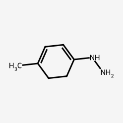 CC1=CC=C(NN)CC1